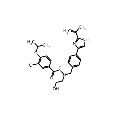 C=C(C)c1nc(-c2ccc(CN(CCO)NC(=O)c3ccc(OC(C)C)c(Cl)c3)cc2)c[nH]1